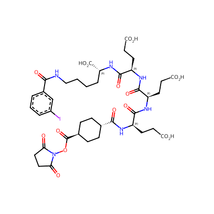 O=C(O)CC[C@@H](NC(=O)[C@@H](CCC(=O)O)NC(=O)[C@@H](CCC(=O)O)NC(=O)[C@H]1CC[C@H](C(=O)ON2C(=O)CCC2=O)CC1)C(=O)N[C@H](CCCCNC(=O)c1cccc(I)c1)C(=O)O